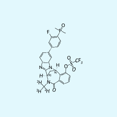 [2H]C([2H])([2H])N1C(=O)c2cccc(OS(=O)(=O)C(F)(F)F)c2[C@H]2C[C@@H]1c1nc3ccc(-c4ccc(P(C)(C)=O)c(F)c4)cc3n12